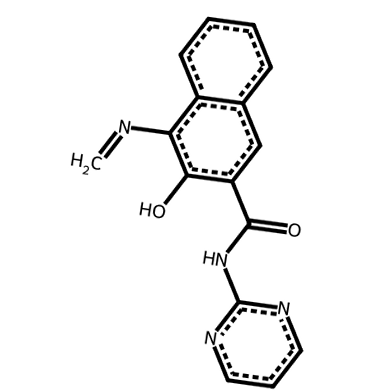 C=Nc1c(O)c(C(=O)Nc2ncccn2)cc2ccccc12